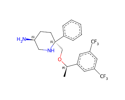 C[C@@H](OC[C@@]1(c2ccccc2)CC[C@H](N)CN1)c1cc(C(F)(F)F)cc(C(F)(F)F)c1